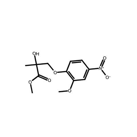 COC(=O)C(C)(O)COc1ccc([N+](=O)[O-])cc1OC